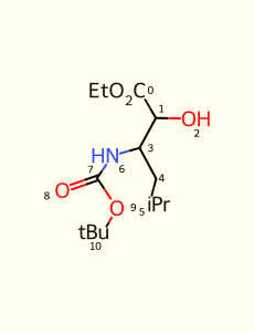 CCOC(=O)C(O)C(CC(C)C)NC(=O)OC(C)(C)C